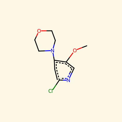 COc1cnc(Cl)cc1N1CCOCC1